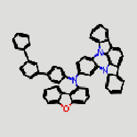 c1ccc(-c2cccc(-c3ccc(N(c4ccc5c(c4)n4c6ccccc6c6ccc7c8ccccc8n5c7c64)c4cccc5oc6ccccc6c45)cc3)c2)cc1